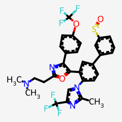 Cc1nc(C(F)(F)F)cn1-c1ccc(-c2cccc([S+]=O)c2)cc1-c1oc(CCN(C)C)nc1-c1ccc(OC(F)(F)F)cc1